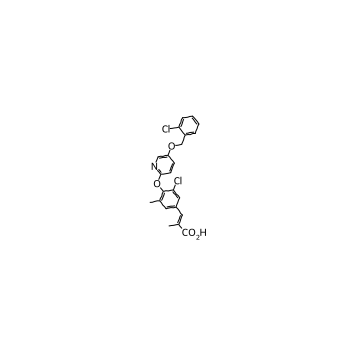 C/C(=C\c1cc(C)c(Oc2ccc(OCc3ccccc3Cl)cn2)c(Cl)c1)C(=O)O